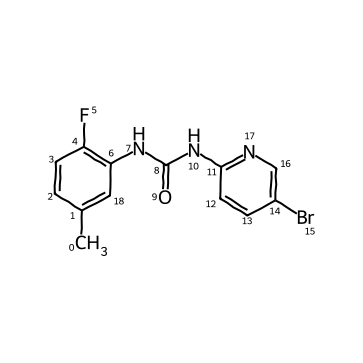 Cc1ccc(F)c(NC(=O)Nc2ccc(Br)cn2)c1